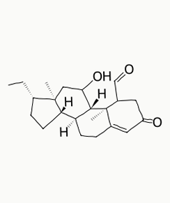 CC[C@H]1CC[C@H]2[C@@H]3CCC4=CC(=O)CC(C=O)[C@]4(C)[C@H]3C(O)C[C@]12C